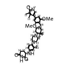 COc1cc(-c2cn(C)c(=O)c(C)c2C)cc(OC)c1CN1CC[C@@H](N2CCN(c3ccc(N[C@H]4CCC(=O)NC4=O)cc3F)CC2)C(F)(F)C1